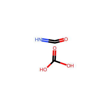 N=C=O.O=C(O)O